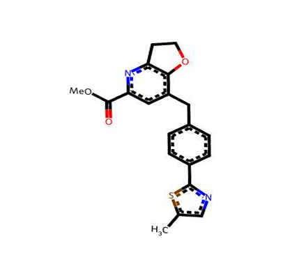 COC(=O)c1cc(Cc2ccc(-c3ncc(C)s3)cc2)c2c(n1)CCO2